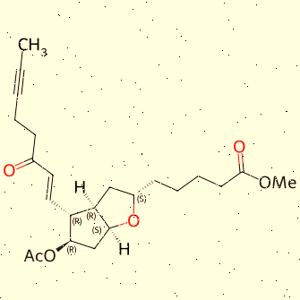 CC#CCCC(=O)C=C[C@@H]1[C@H]2C[C@H](CCCCC(=O)OC)O[C@H]2C[C@H]1OC(C)=O